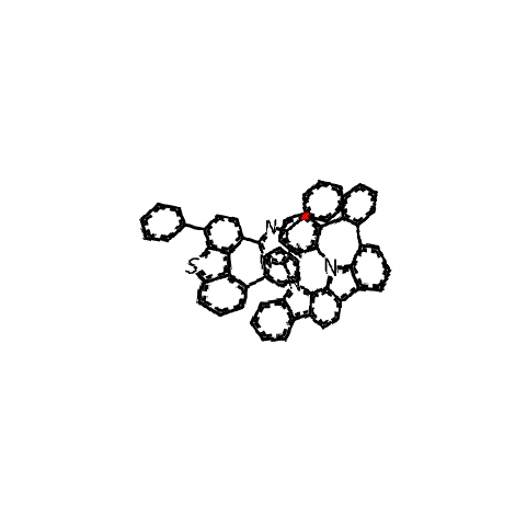 c1ccc(-c2nc(-c3ccc(-c4ccccc4)c4sc5cccc(-c6ccccc6)c5c34)nc(-n3c4ccccc4c4ccc5c6cccc7c6n(c5c43)-c3ccccc3-c3ccccc3-7)n2)cc1